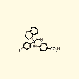 O=C(O)c1ccc2c(c1)N=CC(c1ccc(F)cc1)(N1CCCc3ccccc31)N2